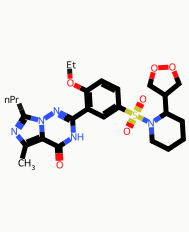 CCCc1nc(C)c2c(=O)[nH]c(-c3cc(S(=O)(=O)N4CCCCC4C4COOC4)ccc3OCC)nn12